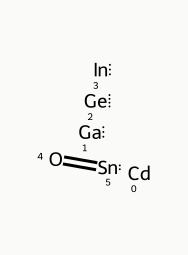 [Cd].[Ga].[Ge].[In].[O]=[Sn]